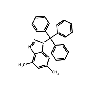 Cc1cc(C)c2nnn(C(c3ccccc3)(c3ccccc3)c3ccccc3)c2n1